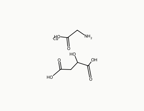 NCC(=O)O.O=C(O)CC(O)C(=O)O.[Cu]